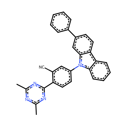 Cc1nc(C)nc(-c2ccc(-n3c4ccccc4c4ccc(-c5ccccc5)cc43)cc2C#N)n1